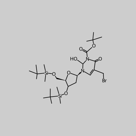 CC(C)(C)OC(=O)N1C(=O)C(CBr)=CN([C@H]2CC(O[Si](C)(C)C(C)(C)C)[C@@H](CO[Si](C)(C)C(C)(C)C)O2)C1O